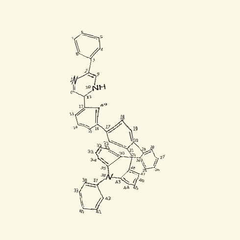 C1=NC(c2ccccc2)=CNC1c1cccc(-c2ccc3c(c2)C2(c4ccccc4-3)c3ccccc3N(c3ccccc3)c3ccccc32)c1